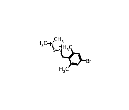 Cc1cc(Br)cc(C)c1CNSN(C)C